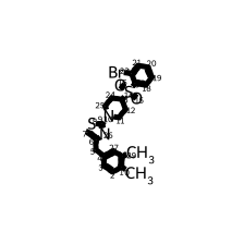 Cc1ccc(Cc2csc(N3CCC(S(=O)(=O)c4ccccc4Br)CC3)n2)cc1C